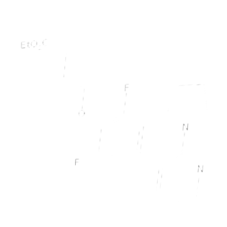 CCOC(=O)CCCOc1c(F)cc(-c2cccnc2N2CCCC2)cc1F